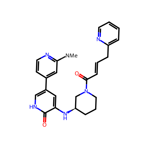 CNc1cc(-c2c[nH]c(=O)c(N[C@@H]3CCCN(C(=O)/C=C/Cc4ccccn4)C3)c2)ccn1